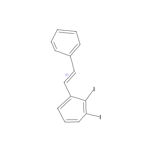 Ic1cccc(/C=C/c2ccccc2)c1I